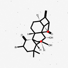 C=C1C2C(=O)C34[C@H]2[C@H]1CC[C@H]3[C@@]12CO[C@@]4(O)[C@@H](O)[C@@H]1C(C)(C)CC(Br)C2=O